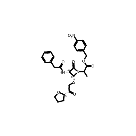 CC(C(=O)OCc1ccc([N+](=O)[O-])cc1)N1C(=O)[C@@H](NC(=O)Cc2ccccc2)[C@H]1SCC(=O)[C@@H]1CCCO1